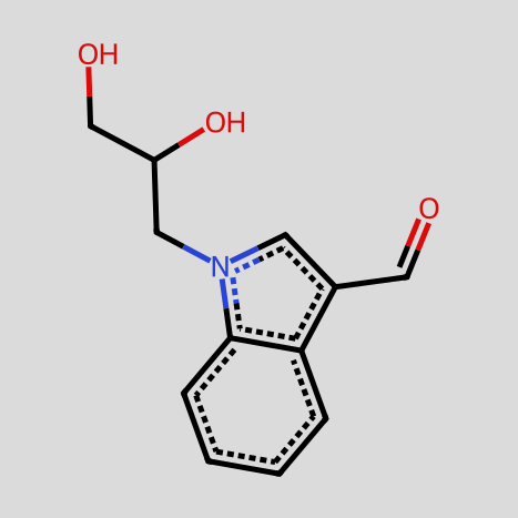 O=Cc1cn(CC(O)CO)c2ccccc12